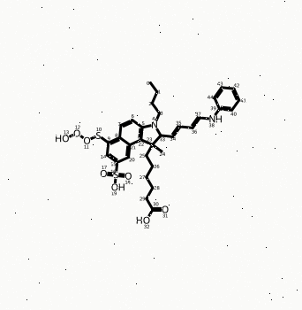 CCCCN1c2ccc3c(SOOO)cc(S(=O)(=O)O)cc3c2C(C)(CCCCCC(=O)O)C1/C=C/C=C/Nc1ccccc1